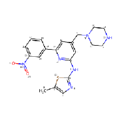 Cc1cnc(Nc2cc(CN3CCNCC3)cc(-c3cccc([N+](=O)[O-])c3)n2)s1